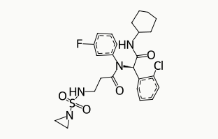 O=C(NC1CCCCC1)[C@@H](c1ccccc1Cl)N(C(=O)CCNS(=O)(=O)N1CC1)c1cccc(F)c1